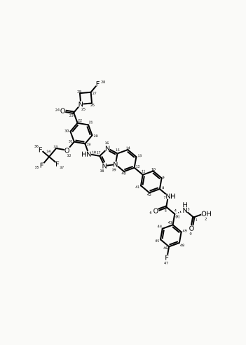 O=C(O)N[C@@H](C(=O)Nc1ccc(-c2ccc3nc(Nc4ccc(C(=O)N5CC(F)C5)cc4OCC(F)(F)F)nn3c2)cc1)c1ccc(F)cc1